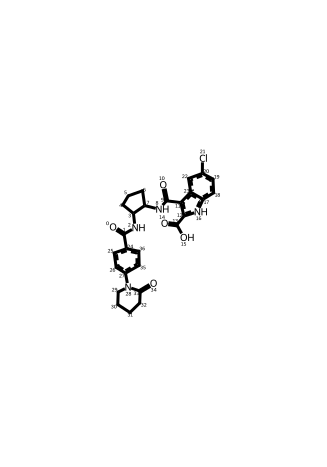 O=C(NC1CCCC1NC(=O)c1c(C(=O)O)[nH]c2ccc(Cl)cc12)c1ccc(N2CCCCC2=O)cc1